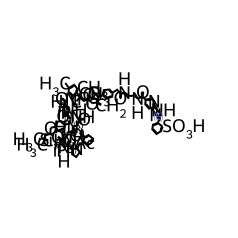 C=C(OC(=O)CC(C)(C)c1c(C)cc(C)cc1NC(=O)[C@H](CC(C)C)NC(=O)[C@H](Cc1ccc(OCC[Si](C)(C)C)cc1)NC(=O)[C@H](CCc1ccccc1)NC(=O)CNC(=O)[C@H](CC(C)C)NC(=O)[C@@H]1CCCN1C(C)=O)C(=O)c1ccc(CC(=O)NCCNC(=O)c2ccc(N/N=C/c3ccccc3S(=O)(=O)O)nc2)cc1